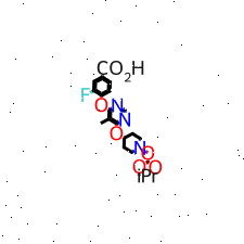 Cc1c(Oc2ccc(C(=O)O)cc2F)ncnc1OC1CCN(OC(=O)OC(C)C)CC1